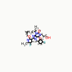 Cc1nc(OCC2CC2)c(-c2nc3c(c(=O)n(CCCO)c(=O)n3C(C)C)n2Cc2ccc(F)cc2)cc1F